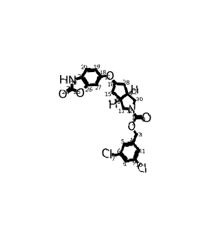 O=C(OCc1cc(Cl)cc(Cl)c1)N1C[C@H]2CC(Oc3ccc4[nH]c(=O)oc4c3)C[C@H]2C1